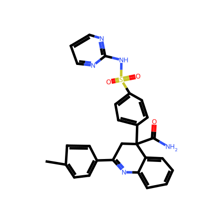 Cc1ccc(C2=Nc3ccccc3C(C(N)=O)(c3ccc(S(=O)(=O)Nc4ncccn4)cc3)C2)cc1